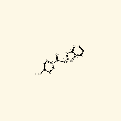 Nc1ccc(C(=O)Nc2nc3ccccc3s2)cc1